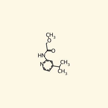 COCC(=O)Nc1cc(C(C)C)ccn1